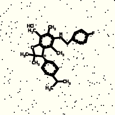 Cc1c(C)c2c(c(C)c1NCc1ccc(F)cc1)[C@@H](c1ccc(C(C)C)cc1)C(C)(C)O2.Cl